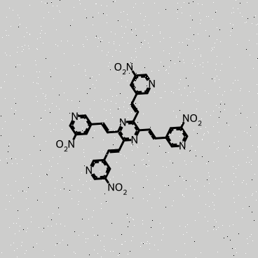 O=[N+]([O-])c1cncc(C=Cc2nc(C=Cc3cncc([N+](=O)[O-])c3)c(C=Cc3cncc([N+](=O)[O-])c3)nc2C=Cc2cncc([N+](=O)[O-])c2)c1